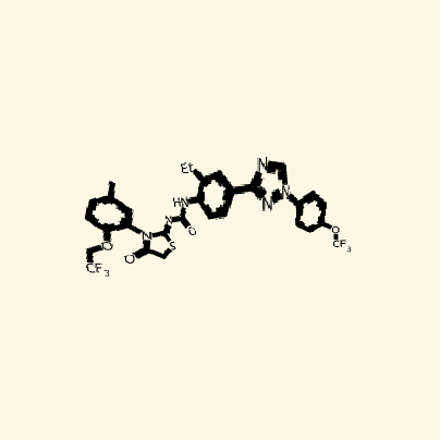 CCc1cc(-c2ncn(-c3ccc(OC(F)(F)F)cc3)n2)ccc1NC(=O)N=C1SCC(=O)N1c1cc(C)ccc1OCC(F)(F)F